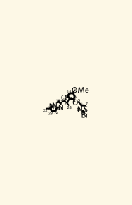 COc1cc(OCc2csc(Br)n2)c2c(c1)OC(c1cn3nc(C)ccc3n1)C2C